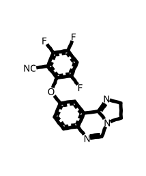 N#Cc1c(F)c(F)cc(F)c1Oc1ccc2c(c1)C1=NCCN1C=N2